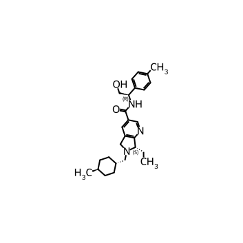 CC[C@H]1c2ncc(C(=O)N[C@@H](CO)c3ccc(C)cc3)cc2CN1C[C@H]1CC[C@H](C)CC1